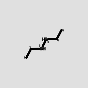 CCBBCC